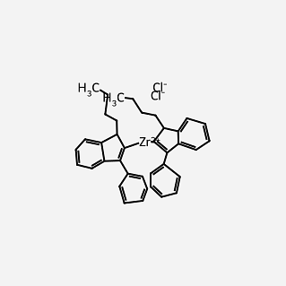 CCCCC1[C]([Zr+2][C]2=C(c3ccccc3)c3ccccc3C2CCCC)=C(c2ccccc2)c2ccccc21.[Cl-].[Cl-]